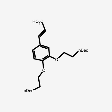 CCCCCCCCCCCCOc1ccc(C=CC(=O)O)cc1OCCCCCCCCCCCC